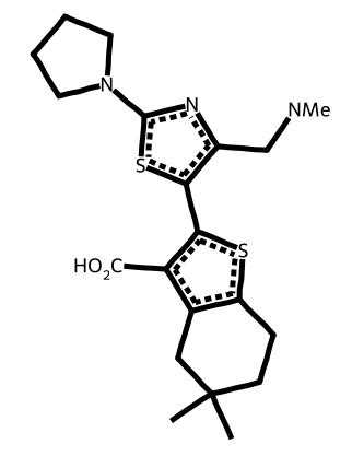 CNCc1nc(N2CCCC2)sc1-c1sc2c(c1C(=O)O)CC(C)(C)CC2